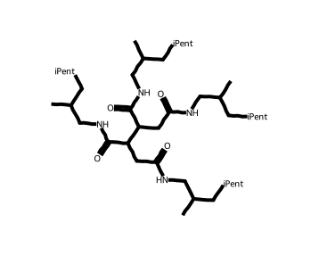 CCCC(C)CC(C)CNC(=O)CC(C(=O)NCC(C)CC(C)CCC)C(CC(=O)NCC(C)CC(C)CCC)C(=O)NCC(C)CC(C)CCC